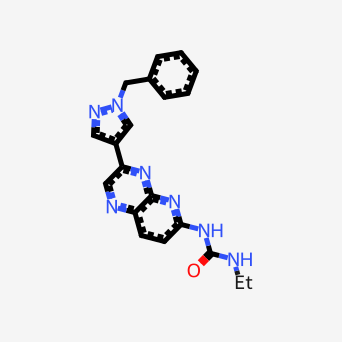 CCNC(=O)Nc1ccc2ncc(-c3cnn(Cc4ccccc4)c3)nc2n1